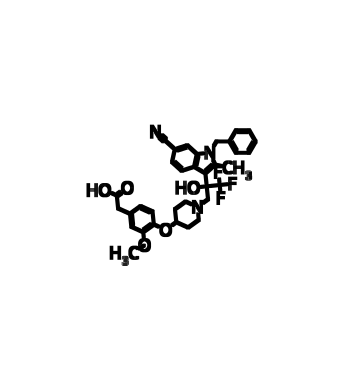 COc1cc(CC(=O)O)ccc1OC1CCN(CC(O)(c2c(C)n(Cc3ccccc3)c3cc(C#N)ccc23)C(F)(F)F)CC1